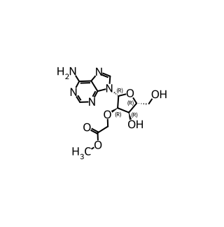 COC(=O)CO[C@@H]1[C@H](O)[C@@H](CO)O[C@H]1n1cnc2c(N)ncnc21